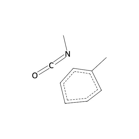 CN=C=O.Cc1ccccc1